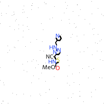 COC(=O)C1=CSC(=C(C#N)c2ccnc(NCCc3cccnc3)n2)N1